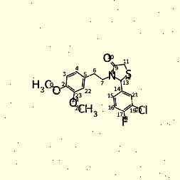 COc1ccc(CCN2C(=O)CSC2c2ccc(F)c(Cl)c2)cc1OC